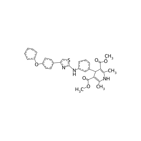 COC(=O)C1=C(C)NC(C)=C(C(=O)OC)C1c1cccc(Nc2nc(-c3ccc(Oc4ccccc4)cc3)cs2)c1